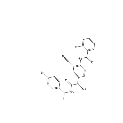 C[C@@H](NC(=O)N(S)c1ccc(NC(=O)c2ccccc2F)c(C#N)c1)c1ccc(Br)cc1